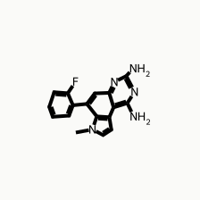 Cn1ccc2c3c(N)nc(N)nc3cc(-c3ccccc3F)c21